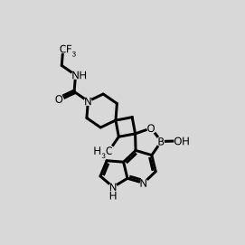 CC1C2(CCN(C(=O)NCC(F)(F)F)CC2)CC12OB(O)c1cnc3[nH]ccc3c12